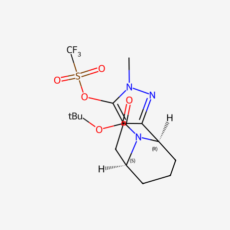 Cn1nc2c(c1OS(=O)(=O)C(F)(F)F)C[C@@H]1CCC[C@H]2N1C(=O)OC(C)(C)C